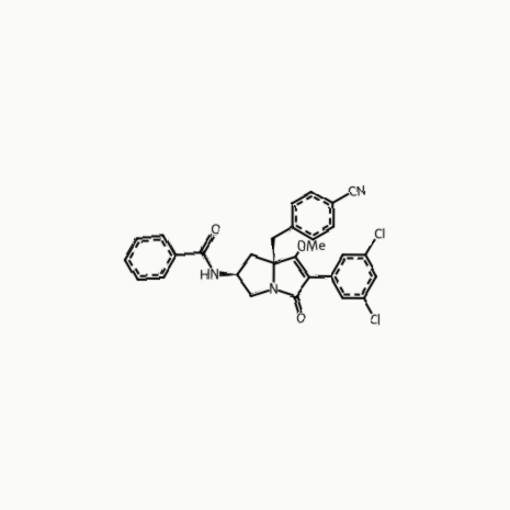 COC1=C(c2cc(Cl)cc(Cl)c2)C(=O)N2C[C@@H](NC(=O)c3ccccc3)C[C@]12Cc1ccc(C#N)cc1